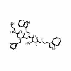 CCCC(NC(=O)CNCCc1c[nH]c2c1C=CCC=C2)C(=O)N(CCc1c[nH]c2c1C=CCC2)CC(=O)N(CC(=O)NCCS)Cc1cccnc1